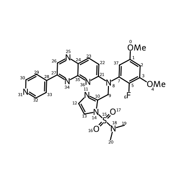 COc1cc(OC)c(F)c(N(Cc2nccn2S(=O)(=O)N(C)C)c2ccc3ncc(-c4ccncc4)nc3n2)c1